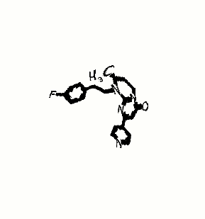 CC1CCn2c(nc(-c3ccncc3)cc2=O)N1CCc1ccc(F)cc1